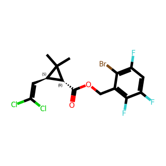 CC1(C)[C@H](C=C(Cl)Cl)[C@H]1C(=O)OCc1c(F)c(F)cc(F)c1Br